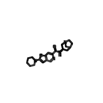 O=C(N[C@@H]1CC2CCN(C2)C1)c1cc2oc(N3CCCCC3)cc2cn1